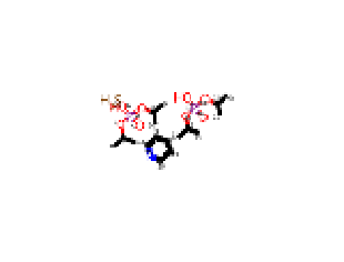 CC(C)OP(=O)(O)OC(C)C.CC(C)OP(=O)(O)OC(C)C.S.c1ccncc1